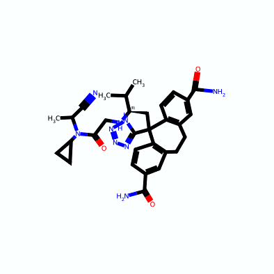 CC(C)[C@@H](CC1(c2nnn[nH]2)c2ccc(C(N)=O)cc2CCc2cc(C(N)=O)ccc21)NCC(=O)N(C(C)C#N)C1CC1